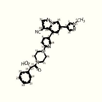 Cn1cc(-c2cc(-c3ccc(N4CCN(C(=O)[C@@H](O)c5ccccc5)CC4)nc3)c3c(C#N)cnn3c2)cn1